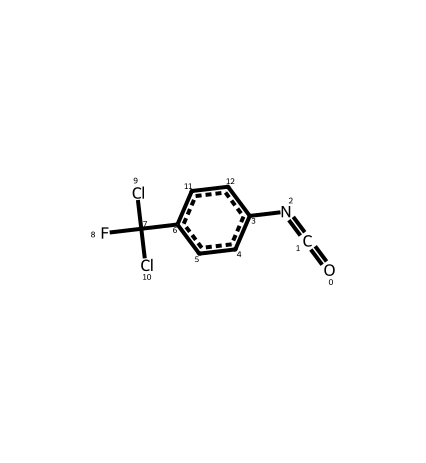 O=C=Nc1ccc(C(F)(Cl)Cl)cc1